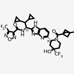 Cc1nonc1C(=O)N[C@H](c1nc2nc([C@H]3C[C@](O)(C(F)(F)F)CCN3C(=O)C34CC(F)(C3)C4)ccc2[nH]1)C(C1CC1)C1CC1